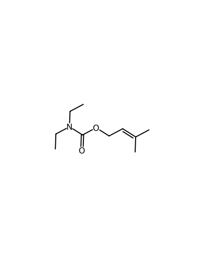 CCN(CC)C(=O)OCC=C(C)C